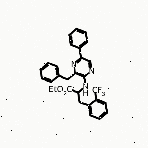 CCOC(=O)C(Cc1ccccc1C(F)(F)F)Nc1ncc(-c2ccccc2)nc1Cc1ccccc1